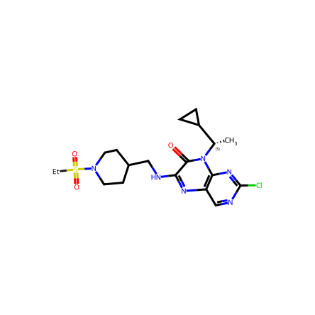 CCS(=O)(=O)N1CCC(CNc2nc3cnc(Cl)nc3n([C@@H](C)C3CC3)c2=O)CC1